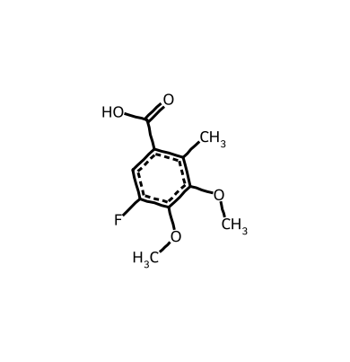 COc1c(F)cc(C(=O)O)c(C)c1OC